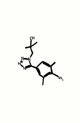 Cc1cc(-c2nnnn2CC(C)(C)O)cc(C)c1N